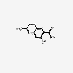 NC(=O)c1cc2ccc(S(=O)(=O)O)cc2cc1O